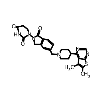 Cc1sc2ncnc(C3CCN(Cc4ccc5c(c4)CN(N4CCC(=O)NC4=O)C5=O)CC3)c2c1C